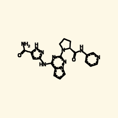 NC(=O)c1cc(Nc2nc(N3CCC[C@H]3C(=O)Nc3cccnc3)nn3cccc23)n[nH]1